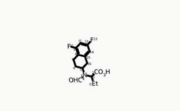 CCC(C(=O)O)N(C=O)C1CCc2c(F)cc(F)cc2C1